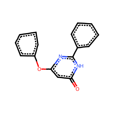 O=c1cc(Oc2ccccc2)nc(-c2ccccc2)[nH]1